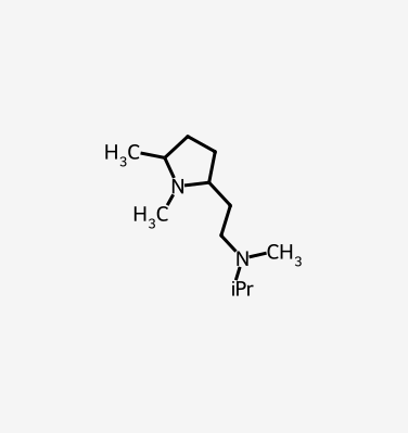 CC(C)N(C)CCC1CCC(C)N1C